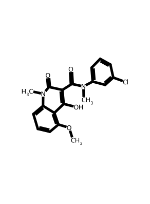 COc1cccc2c1c(O)c(C(=O)N(C)c1cccc(Cl)c1)c(=O)n2C